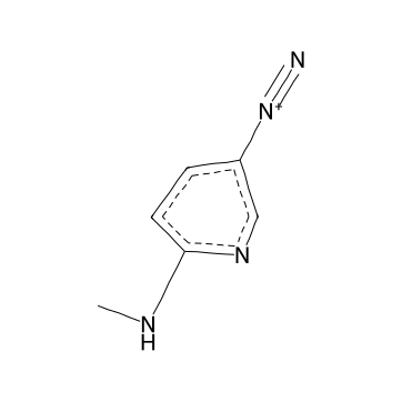 CNc1ccc([N+]#N)cn1